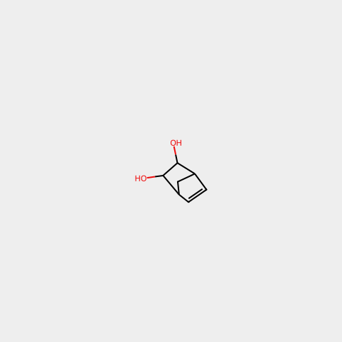 OC1C2C=CC(C2)C1O